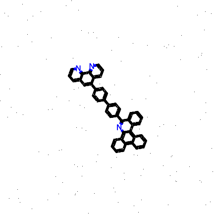 c1cnc2c(c1)cc(-c1ccc(-c3ccc(-c4nc5c6ccccc6c6ccccc6c5c5ccccc45)cc3)cc1)c1cccnc12